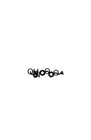 OCc1ccn(-c2ccc(Oc3cccc(OCC4CC4)c3)cc2)n1